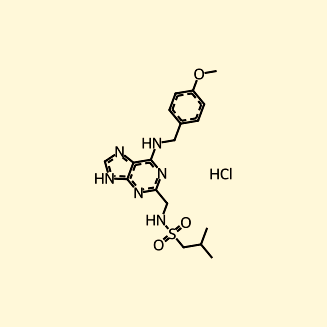 COc1ccc(CNc2nc(CNS(=O)(=O)CC(C)C)nc3[nH]cnc23)cc1.Cl